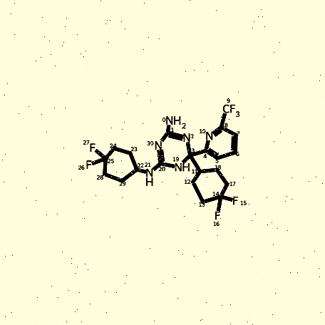 NC1=NC(c2cccc(C(F)(F)F)n2)(C2CCC(F)(F)CC2)NC(NC2CCC(F)(F)CC2)=N1